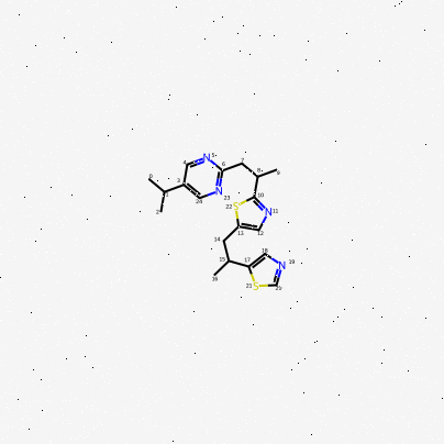 CC(C)c1cnc(CC(C)c2ncc(CC(C)c3cncs3)s2)nc1